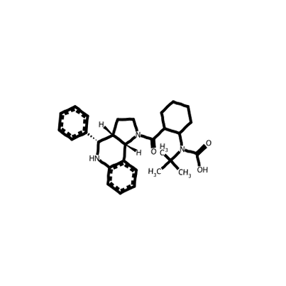 CC(C)(C)N(C(=O)O)C1CCCCC1C(=O)N1CC[C@H]2[C@@H](c3ccccc3)Nc3ccccc3[C@H]21